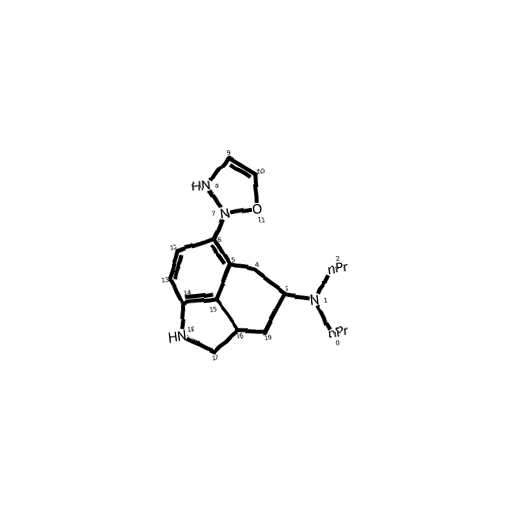 CCCN(CCC)C1Cc2c(N3NC=CO3)ccc3c2C(CN3)C1